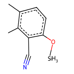 Cc1ccc(O[SiH3])c(C#N)c1C